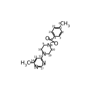 Cc1ccc(S(=O)(=O)N2CCN(c3cc(C)ncn3)CC2)cc1